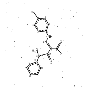 CC(=O)/C(=N\Nc1ccc(C)cc1)C(=O)N(N)c1ccccc1